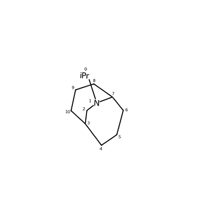 CC(C)N1CC2CCCC1CCC2